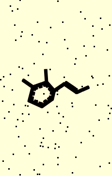 CC=Cc1cccc(C)c1C